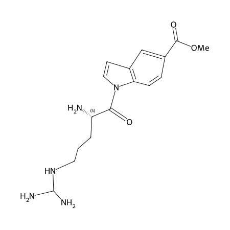 COC(=O)c1ccc2c(ccn2C(=O)[C@@H](N)CCCNC(N)N)c1